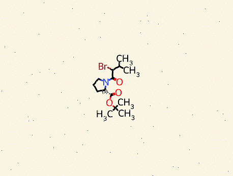 CC(C)C(Br)C(=O)N1CCC[C@H]1C(=O)OC(C)(C)C